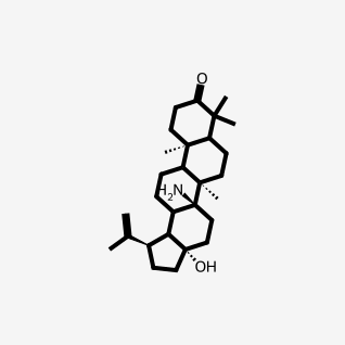 C=C(C)[C@@H]1CC[C@]2(O)CC[C@]3(N)C(CCC4[C@@]5(C)CCC(=O)C(C)(C)C5CC[C@]43C)C12